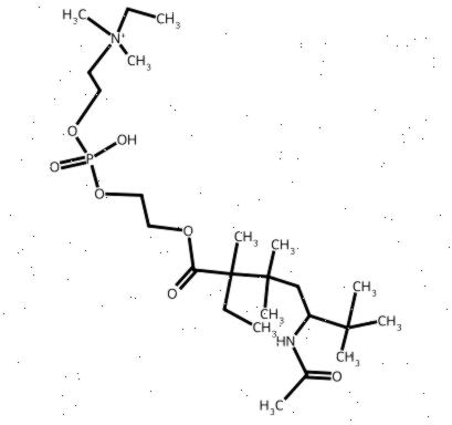 CCC(C)(C(=O)OCCOP(=O)(O)OCC[N+](C)(C)CC)C(C)(C)CC(NC(C)=O)C(C)(C)C